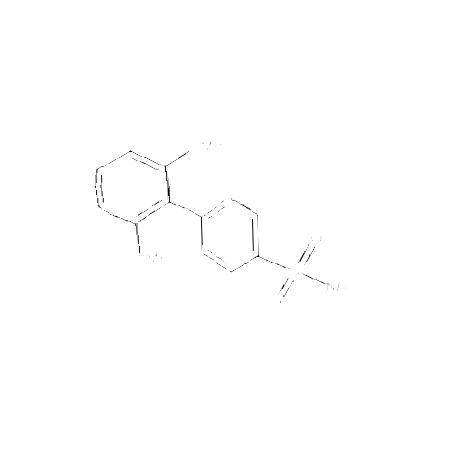 COc1cccc(OC)c1-c1ccc(S(N)(=O)=O)cn1